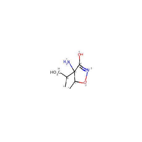 CC1ON=C(O)C1(N)C(C)C(=O)O